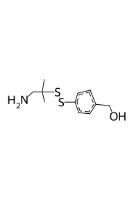 CC(C)(CN)SSc1ccc(CO)cc1